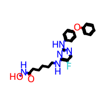 O=C(CCCCCNc1nc(Nc2ccc(Oc3ccccc3)cc2)ncc1F)NO